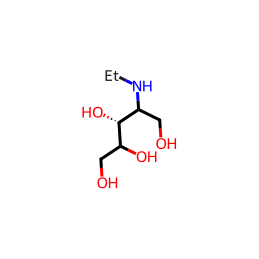 CCNC(CO)[C@@H](O)C(O)CO